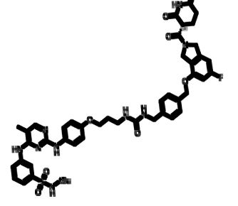 Cc1cnc(Nc2ccc(OCCCNC(=O)NCc3ccc(COc4cc(F)cc5c4CN(C(=O)[C@H]4CCC(=O)NC4=O)C5)cc3)cc2)nc1Nc1cccc(S(=O)(=O)NC(C)(C)C)c1